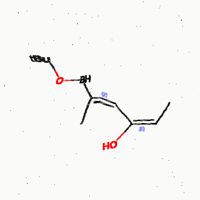 C/C=C(O)\C=C(/C)BOC(C)(C)C